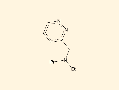 CCN(Cc1cccnn1)C(C)C